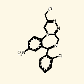 O=[N+]([O-])c1ccc2c(c1)C(c1ccccc1Cl)=NCC1=NN=C(CCl)CN12